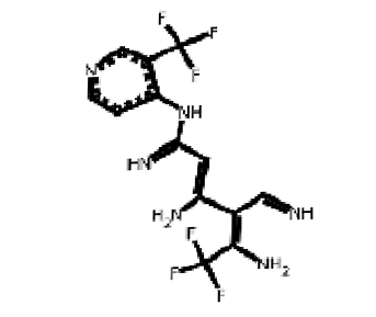 N=CC(/C(N)=C/C(=N)Nc1ccncc1C(F)(F)F)=C(\N)C(F)(F)F